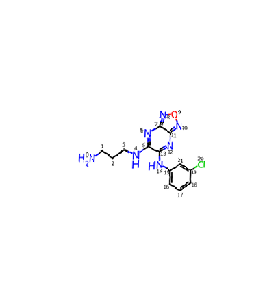 NCCCNc1nc2nonc2nc1Nc1cccc(Cl)c1